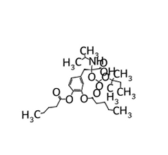 CCCCC(=O)Oc1ccc(C[C@](NC(C)C)(OC(=O)OC(C)(C)CC)C(=O)O)cc1OC(=O)CCCC